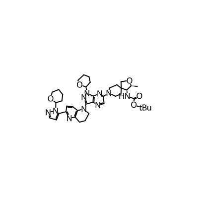 C[C@@H]1OCC2(CCN(c3cnc4c(N5CCCc6nc(-c7ccnn7C7CCCCO7)ccc65)nn(C5CCCCO5)c4n3)CC2)[C@@H]1NC(=O)OC(C)(C)C